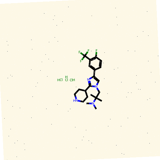 CN(C)C(C)(C)Cn1cc(-c2ccc(F)c(C(F)(F)F)c2)nc1C1CCNCC1.Cl.Cl.Cl